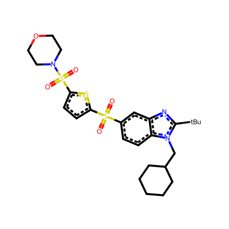 CC(C)(C)c1nc2cc(S(=O)(=O)c3ccc(S(=O)(=O)N4CCOCC4)s3)ccc2n1CC1CCCCC1